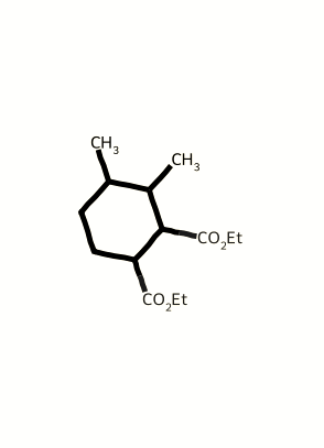 CCOC(=O)C1CCC(C)C(C)C1C(=O)OCC